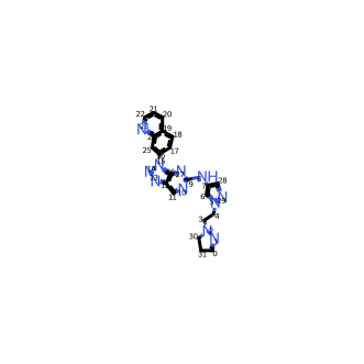 C1=NN(CCn2cc(Nc3ncc4nnn(-c5ccc6cccnc6c5)c4n3)cn2)CC1